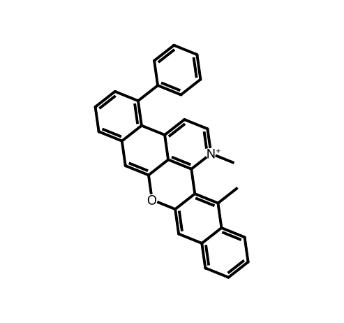 Cc1c2c(cc3ccccc13)Oc1cc3cccc(-c4ccccc4)c3c3cc[n+](C)c-2c13